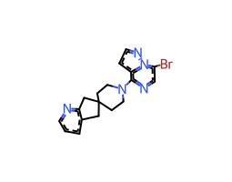 Brc1cnc(N2CCC3(CC2)Cc2cccnc2C3)c2ccnn12